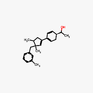 Cc1cccc(CC2(C)C=C(C3=CC[C@H](C(C)O)C=C3)CC2C)c1